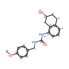 COc1ccc(CNC(=O)Nc2cccc3c2CC(O)CC3)cc1